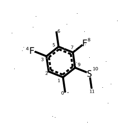 [CH2]c1cc(F)c(C)c(F)c1SC